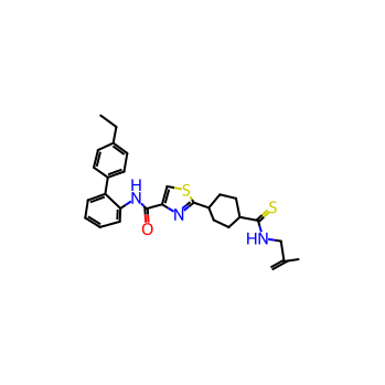 C=C(C)CNC(=S)C1CCC(c2nc(C(=O)Nc3ccccc3-c3ccc(CC)cc3)cs2)CC1